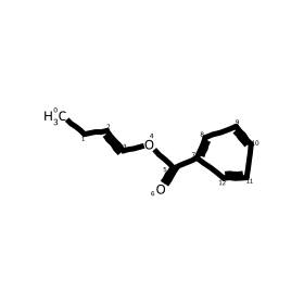 CCC=COC(=O)c1ccccc1